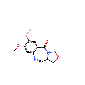 COc1cc2c(cc1OC)C(=O)N1COCC1C=N2